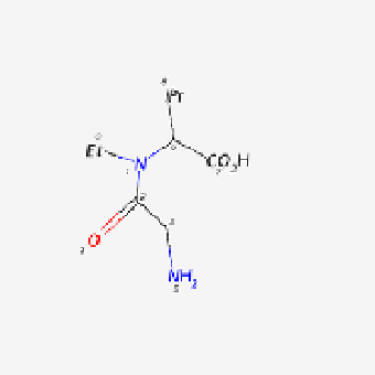 CCN(C(=O)CN)C(C(=O)O)C(C)C